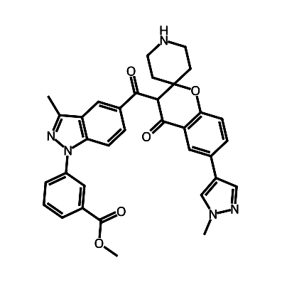 COC(=O)c1cccc(-n2nc(C)c3cc(C(=O)C4C(=O)c5cc(-c6cnn(C)c6)ccc5OC45CCNCC5)ccc32)c1